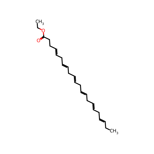 CCC=CCC=CCC=CCC=CCC=CCC=CCCC(=O)OCC